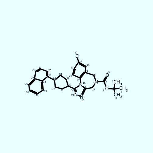 CC(C)(C)OC(=O)N1Cc2cc(Cl)ccc2-n2c(nnc2C2CCC(c3cccc4ccccc34)CC2)C1